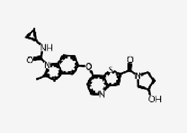 Cc1cc2cc(Oc3ccnc4cc(C(=O)N5CCC(O)C5)sc34)ccc2n1C(=O)NC1CC1